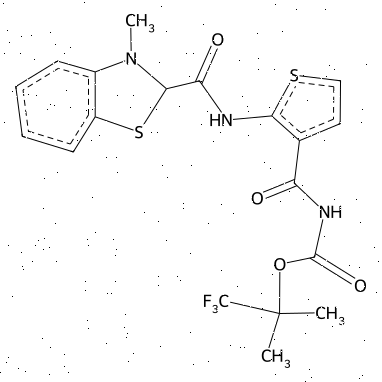 CN1c2ccccc2SC1C(=O)Nc1sccc1C(=O)NC(=O)OC(C)(C)C(F)(F)F